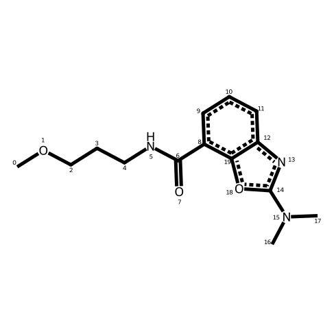 COCCCNC(=O)c1cccc2nc(N(C)C)oc12